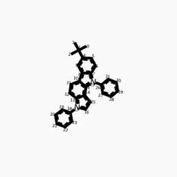 CC(C)(C)c1ccc2c(c1)c1ccc3c(ccn3-c3ccccc3)c1n2-c1ccccc1